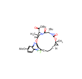 COc1ccc2nc3c(nc2c1)O[C@H]1CN(C(=O)[C@H](C(C)(C)C)NC(=O)O[C@]2(C)C[C@H]2CCCCC3(F)F)[C@H](C(=O)OCC(C)C)[C@@H]1C